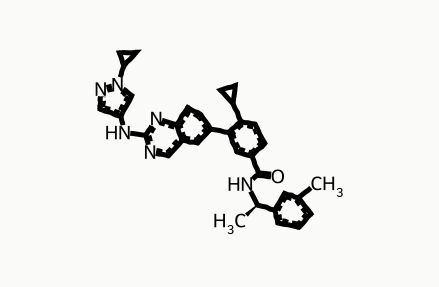 Cc1cccc([C@@H](C)NC(=O)c2ccc(C3CC3)c(-c3ccc4nc(Nc5cnn(C6CC6)c5)ncc4c3)c2)c1